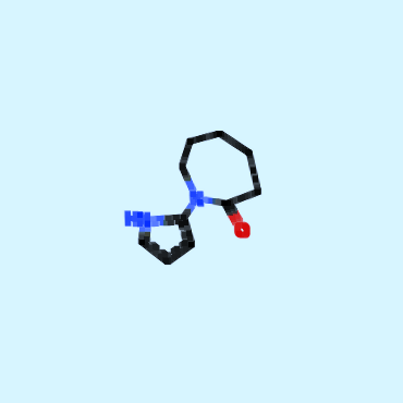 O=C1CCCCCN1c1ccc[nH]1